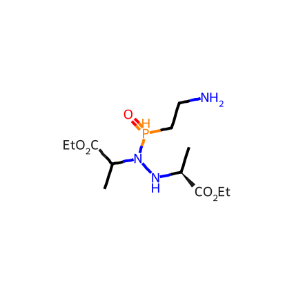 CCOC(=O)C(C)N(N[C@@H](C)C(=O)OCC)[PH](=O)CCN